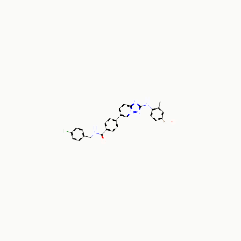 Cc1cc([S@@+](C)[O-])ccc1Nc1nc2ccc(-c3ccc(C(=O)NCc4ccc(F)cc4)cc3)cn2n1